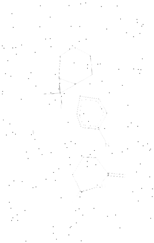 Cl.O=C1CC[C@H](Nc2ccc([C@@]34CCNC[C@@H]3C4(F)F)cc2)C(=O)N1